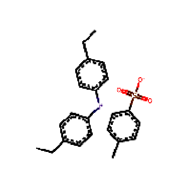 CCc1ccc([I+]c2ccc(CC)cc2)cc1.Cc1ccc(S(=O)(=O)[O-])cc1